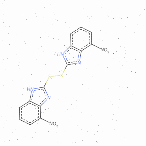 O=[N+]([O-])c1cccc2[nH]c(SSc3nc4c([N+](=O)[O-])cccc4[nH]3)nc12